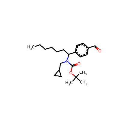 CCCCCCC(c1ccc(C=O)cc1)N(CC1CC1)C(=O)OC(C)(C)C